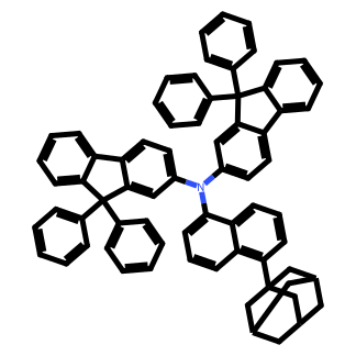 c1ccc(C2(c3ccccc3)c3ccccc3-c3ccc(N(c4ccc5c(c4)C(c4ccccc4)(c4ccccc4)c4ccccc4-5)c4cccc5c(C67CC8CC(CC(C8)C6)C7)cccc45)cc32)cc1